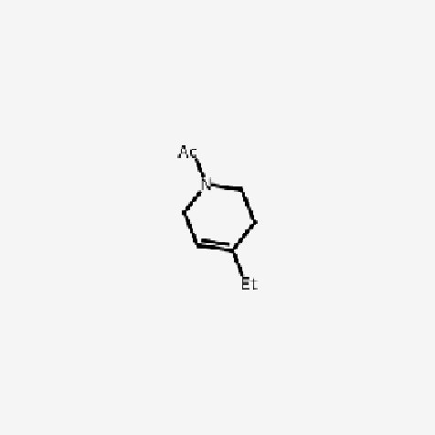 CCC1=CCN(C(C)=O)CC1